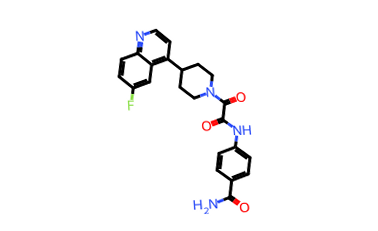 NC(=O)c1ccc(NC(=O)C(=O)N2CCC(c3ccnc4ccc(F)cc34)CC2)cc1